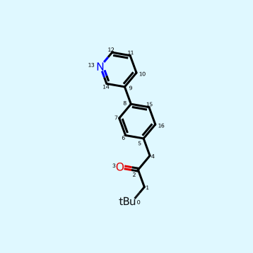 CC(C)(C)CC(=O)Cc1ccc(-c2cccnc2)cc1